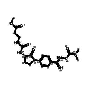 COC(=O)CCNC(=O)N[C@H]1CCN(c2ccc(C(=N)NOC(=O)N(C)C)cc2)C1=O